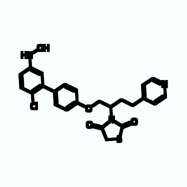 O=C1CSC(=O)N1C(CCc1ccncc1)COc1ccc(-c2cc(NO)ccc2Cl)cc1